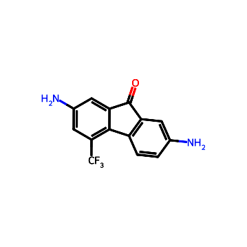 Nc1ccc2c(c1)C(=O)c1cc(N)cc(C(F)(F)F)c1-2